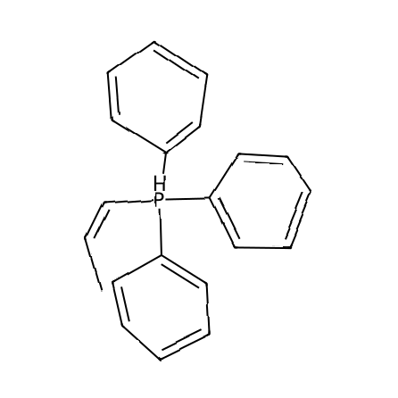 C/C=C\[PH](c1ccccc1)(c1ccccc1)c1ccccc1